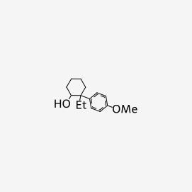 CCC1(c2ccc(OC)cc2)CCCCC1O